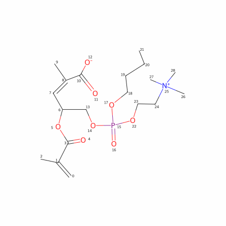 C=C(C)C(=O)OC(C=C(C)C(=O)[O-])COP(=O)(OCCCC)OCC[N+](C)(C)C